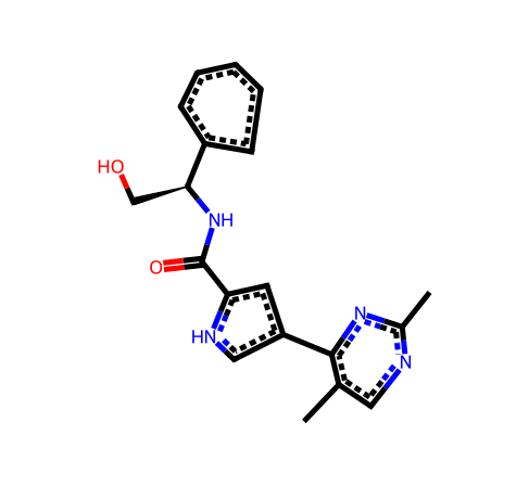 Cc1ncc(C)c(-c2c[nH]c(C(=O)N[C@@H](CO)c3ccccc3)c2)n1